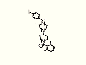 Cc1cccc(C)c1C(=O)N1CCC(N2CCN([C@@H](C)c3ccc(I)cc3)[C@@H](C)C2)CC1